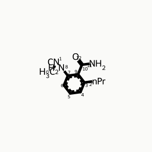 CC#N.CCCc1cccc(N)c1C(N)=O